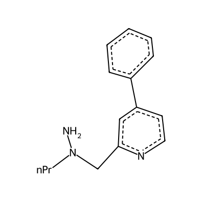 CCCN(N)Cc1cc(-c2ccccc2)ccn1